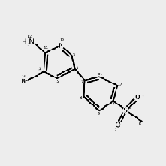 CS(=O)(=O)c1ccc(-c2cnc(N)c(Br)c2)cc1